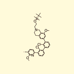 [CH2]c1ccc(-c2cccc(-c3cccc(-c4cc5c(c(OC)c4)CN(CCO[Si](C)(C)C(C)(C)C)CC5)c3Cl)c2Cl)nc1OC